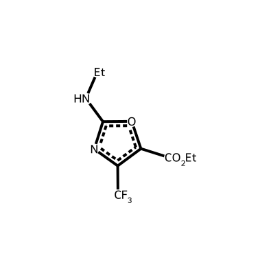 CCNc1nc(C(F)(F)F)c(C(=O)OCC)o1